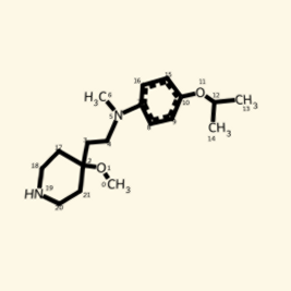 COC1(CCN(C)c2ccc(OC(C)C)cc2)CCNCC1